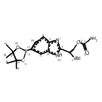 CC(C)(C)C(OC(N)=O)c1nc2ccc(B3OC(C)(C)C(C)(C)O3)cc2[nH]1